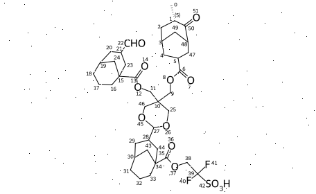 C[C@H]1CC2CC(C(=O)OCC3(COC(=O)C45CCCC(CC(C=O)C4)C5)COC(C4CC5CCCC(C(=O)OCC(F)(F)S(=O)(=O)O)(C5)C4)OC3)CC(C2)C1=O